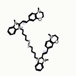 CN1CCOc2cc(/C=C/c3n(C)c4ccccc4[n+]3CCCCSSCCCCN3c4ccccc4N(C)C3/C=C/c3ccc4c(c3)OCCN4C)ccc21